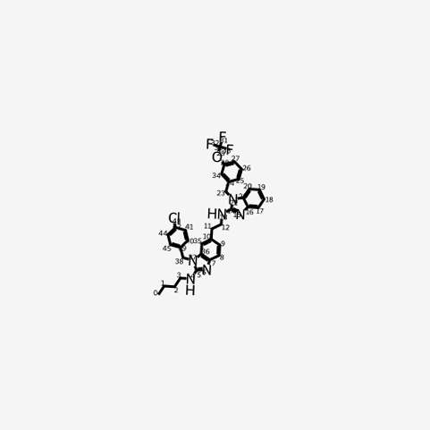 CCCCNc1nc2ccc(CCNc3nc4ccccc4n3Cc3cccc(OC(F)(F)F)c3)cc2n1Cc1ccc(Cl)cc1